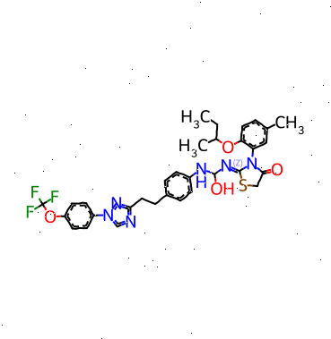 CCC(C)Oc1ccc(C)cc1N1C(=O)CS/C1=N\C(O)Nc1ccc(CCc2ncn(-c3ccc(OC(F)(F)F)cc3)n2)cc1